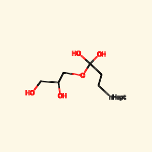 CCCCCCCCCC(O)(O)OCC(O)CO